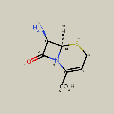 N[C@@H]1C(=O)N2C(C(=O)O)=CCS[C@H]12